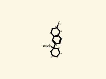 CCCCCCC1(c2ccc3c(c2)CCC(CC)C3)CCCCC1